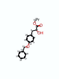 CC(C)OC(=O)C(O)Cc1ccc(OCc2ccccc2)cc1